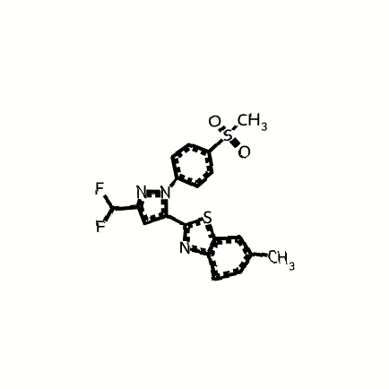 Cc1ccc2nc(-c3cc(C(F)F)nn3-c3ccc(S(C)(=O)=O)cc3)sc2c1